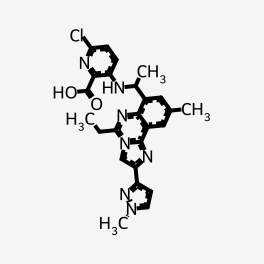 CCc1nc2c(C(C)Nc3ccc(Cl)nc3C(=O)O)cc(C)cc2c2nc(-c3ccn(C)n3)cn12